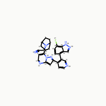 N#CCN1C2CCC1CC(c1ccnc3cc(-c4ccncc4-c4ccc(F)c5[nH]ncc45)nn13)C2